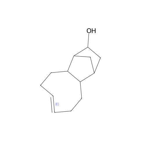 OC1CC2CC1C1CC/C=C/CCC21